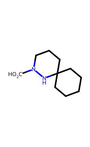 O=C(O)N1CCCC2(CCCCC2)N1